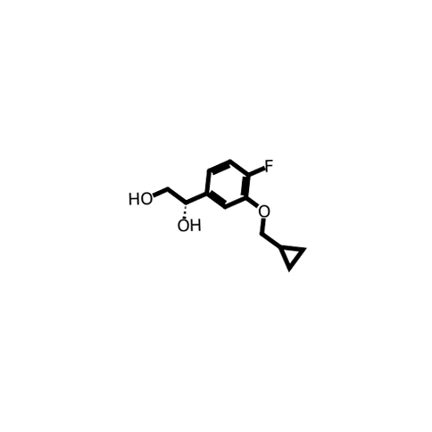 OC[C@@H](O)c1ccc(F)c(OCC2CC2)c1